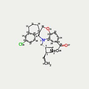 C=C[C@@H]1CC[C@H]1CN1C[C@@]2(CCCc3cc(Cl)ccc32)COc2ccc(C(=O)OC)cc21